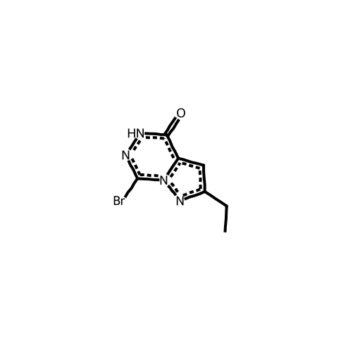 CCc1cc2c(=O)[nH]nc(Br)n2n1